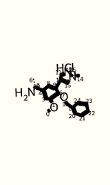 COc1cc([C@@H](C)N)cc(-c2cnn(C)c2)c1OCc1ccccc1.Cl